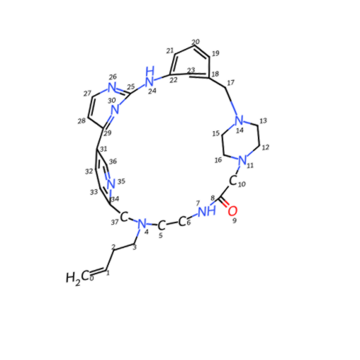 C=CCCN1CCNC(=O)CN2CCN(CC2)Cc2cccc(c2)Nc2nccc(n2)-c2ccc(nc2)C1